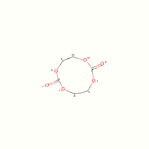 O=C1OCCOC(=O)OCCO1